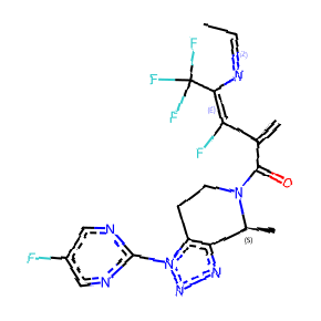 C=C(C(=O)N1CCc2c(nnn2-c2ncc(F)cn2)[C@@H]1C)/C(F)=C(\N=C/C)C(F)(F)F